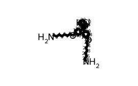 Cl.NCCCCCCCOc1ccc(C2(c3ccc(OCCCCCCCN)cc3)C3CC4CC(C3)CC2C4)cc1